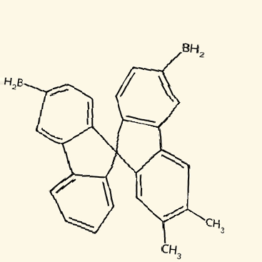 Bc1ccc2c(c1)-c1ccccc1C21c2ccc(B)cc2-c2cc(C)c(C)cc21